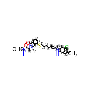 CCCC(C(=O)NC=O)N1Cc2c(SCCCCCCCNC3(C)CC4CC(C)CC(Cl)(C4)C3)cccc2C1=O